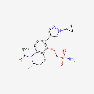 COC(=O)N1c2ccc(-c3cnn(C4CC4)c3)c(OCS(N)(=O)=O)c2CC[C@@H]1C